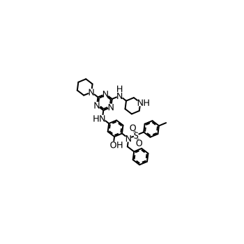 Cc1ccc(S(=O)(=O)N(Cc2ccccc2)c2ccc(Nc3nc(NC4CCCNC4)nc(N4CCCCC4)n3)cc2O)cc1